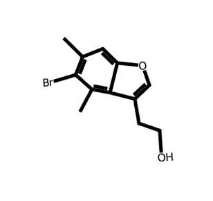 Cc1cc2occ(CCO)c2c(C)c1Br